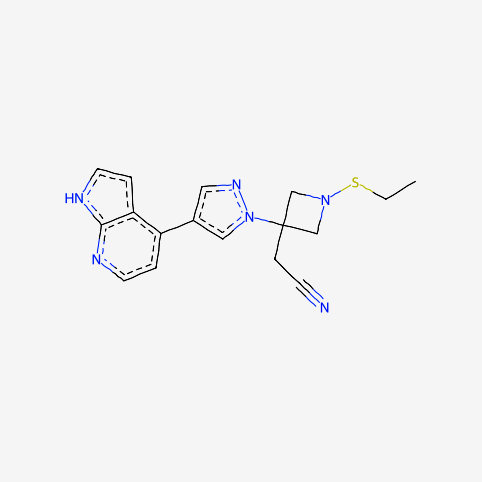 CCSN1CC(CC#N)(n2cc(-c3ccnc4[nH]ccc34)cn2)C1